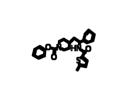 Cc1ccc(C(=O)NC(CC2CCN(C(=O)Oc3ccccc3)CC2)c2ccccc2)s1